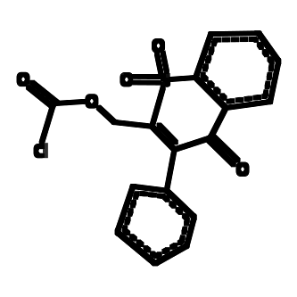 O=C(Cl)OCC1=C(c2ccccc2)C(=O)c2ccccc2S1(=O)=O